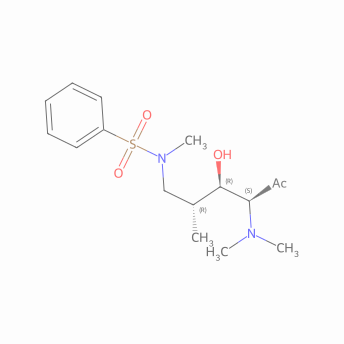 CC(=O)[C@H]([C@H](O)[C@H](C)CN(C)S(=O)(=O)c1ccccc1)N(C)C